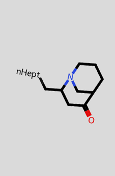 CCCCCCCCC1CC(=O)C2CCCN1C2